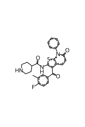 Cc1cc(C(=O)c2c(NC(=O)C3CCNCC3)sc3c2ccc(=O)n3-c2ccccc2)ccc1F